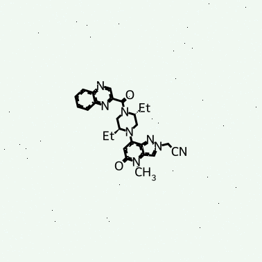 CC[C@@H]1CN(c2cc(=O)n(C)c3cn(CC#N)nc23)[C@@H](CC)CN1C(=O)c1cnc2ccccc2n1